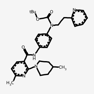 Cc1ccc(C(=O)Nc2ccc(N(CCc3ccccn3)C(=O)OC(C)(C)C)cc2)c(N2CCC(C)CC2)n1